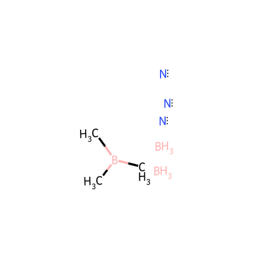 B.B.CB(C)C.[N].[N].[N]